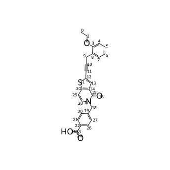 CCOc1ccccc1CC#Cc1cc2c(=O)n(Cc3ccc(C(=O)O)cc3)ccc2s1